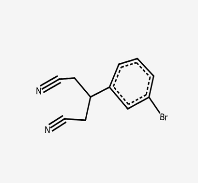 N#CCC(CC#N)c1cccc(Br)c1